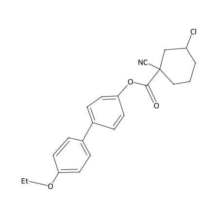 CCOc1ccc(-c2ccc(OC(=O)C3(C#N)CCCC(Cl)C3)cc2)cc1